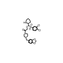 O=C(COC(C1CCCCN1)S(=O)(=O)c1ccc(Cl)c(Cl)c1)N1CCN(Cc2ccc3c(c2)OCO3)CC1